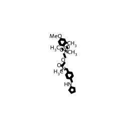 COc1cc(C)c(S(=O)(=O)N(C)CCOCC(=O)N(C)Cc2ccc(CNC3CCCC3)cc2)c(C)c1